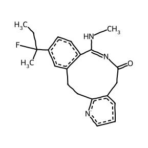 CCC(C)(F)c1ccc2c(c1)CCc1ncccc1CC(=O)/N=C\2NC